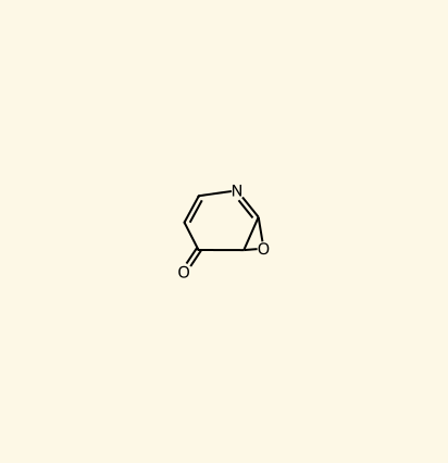 O=C1C=CN=C2OC12